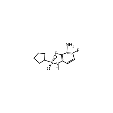 Nc1c(F)ccc(NS(=O)(=O)C2CCCC2)c1F